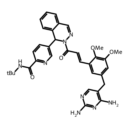 COc1cc(Cc2cnc(N)nc2N)cc(/C=C/C(=O)N2N=Cc3ccccc3C2c2ccc(C(=O)NC(C)(C)C)nc2)c1OC